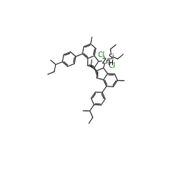 CCC1=Cc2c(-c3ccc(C(C)CC)cc3)cc(C)cc2[CH]1[Zr]([Cl])([Cl])([CH]1C(C)=Cc2c(-c3ccc(C(C)CC)cc3)cc(C)cc21)[SiH](CC)CC